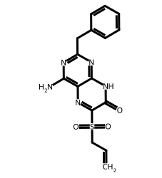 C=CCS(=O)(=O)c1nc2c(N)nc(Cc3ccccc3)nc2[nH]c1=O